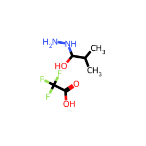 CC(C)C(O)NN.O=C(O)C(F)(F)F